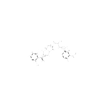 Cc1ccc(NCC(C)CN2CC3CN(C(=O)c4c(C)cccc4C)CC3C2)cc1CI